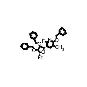 CC[C@H]1O[C@@H](c2cc(C)c(OCc3ccccc3)nc2F)[C@@H](OCc2ccccc2)C1OCc1ccccc1